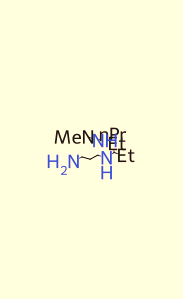 CCC(CC)NCCCN.CCCNNC